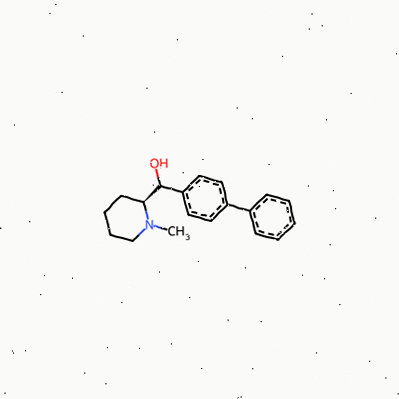 CN1CCCC[C@H]1C(O)c1ccc(-c2ccccc2)cc1